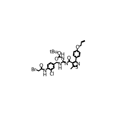 C=CCOc1ccc(-c2nsc(C)c2C(=O)/N=C(/NCc2ccc(NC(=O)CBr)c(Cl)c2)NC(=O)OC(C)(C)C)cc1